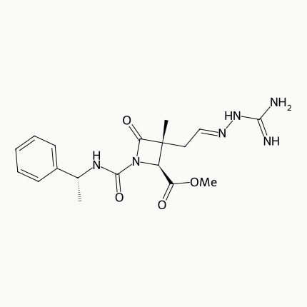 COC(=O)[C@H]1N(C(=O)N[C@H](C)c2ccccc2)C(=O)[C@]1(C)C/C=N/NC(=N)N